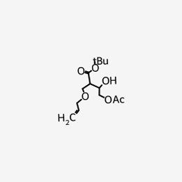 C=CCOCC(C(=O)OC(C)(C)C)C(O)COC(C)=O